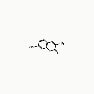 CCCc1ccc2cc(CCC)c(=O)oc2c1